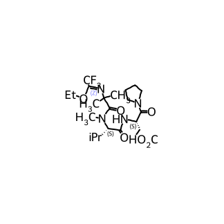 CCO/C(=N\C(C)(C)C(=O)N(C)[C@H](C(=O)N[C@@H](CC(=O)O)C(=O)N1CCCC1)C(C)C)C(F)(F)F